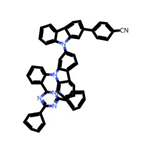 N#Cc1ccc(-c2ccc3c4ccccc4n(-c4ccc5c6ccccc6n(-c6ccccc6C6N=C(c7ccccc7)N=C(c7ccccc7)N6)c5c4)c3c2)cc1